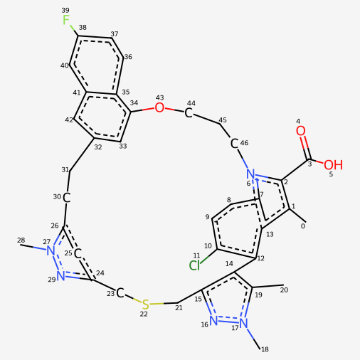 Cc1c(C(=O)O)n2c3ccc(Cl)c(c13)-c1c(nn(C)c1C)CSCc1cc(n(C)n1)CCc1cc(c3ccc(F)cc3c1)OCCC2